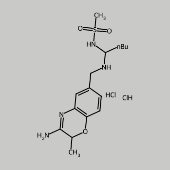 CCCCC(NCc1ccc2c(c1)N=C(N)C(C)O2)NS(C)(=O)=O.Cl.Cl